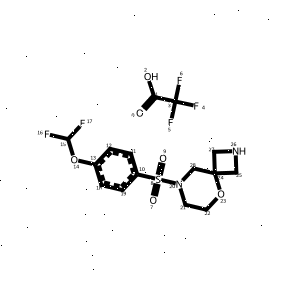 O=C(O)C(F)(F)F.O=S(=O)(c1ccc(OC(F)F)cc1)N1CCOC2(CNC2)C1